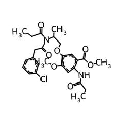 CCC(=O)Nc1cc(OC)c(OCC(C)N(C(=O)CC)C(=O)Cc2cccc(Cl)c2)cc1C(=O)OC